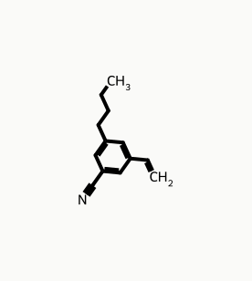 C=Cc1cc(C#N)cc(CCCC)c1